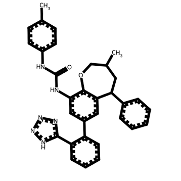 Cc1ccc(NC(=O)Nc2cc(-c3ccccc3-c3nnn[nH]3)cc3c2OCC(C)CC3c2ccccc2)cc1